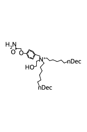 CCCCCCCCCCCCCCCC[N+](CCO)(CCCCCCCCCCCCCCCC)Cc1ccc(OCC(N)=O)cc1